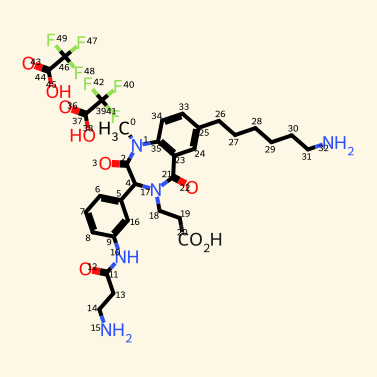 CN1C(=O)C(c2cccc(NC(=O)CCN)c2)N(CCC(=O)O)C(=O)c2cc(CCCCCCN)ccc21.O=C(O)C(F)(F)F.O=C(O)C(F)(F)F